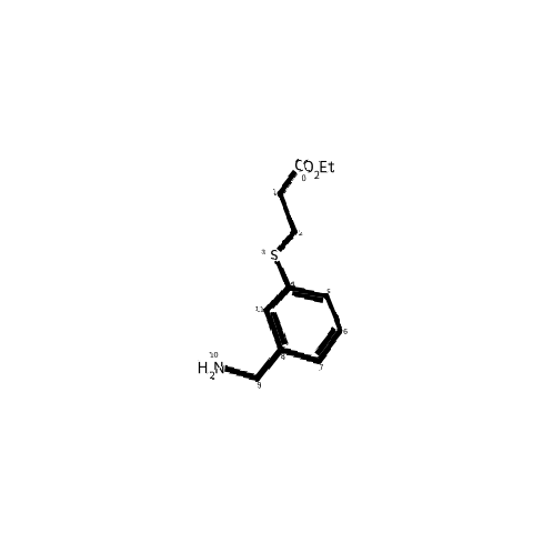 CCOC(=O)CCSc1cccc(CN)c1